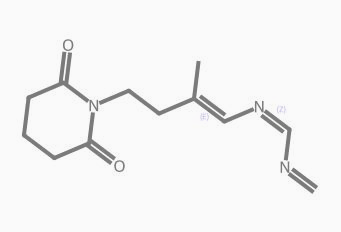 C=N/C=N\C=C(/C)CCN1C(=O)CCCC1=O